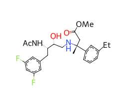 CCc1cccc([C@@](C)(CC(=O)OC)NC[C@@H](O)[C@H](Cc2cc(F)cc(F)c2)NC(C)=O)c1